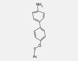 CC(=O)SOc1ccc(-c2ccc(N)cc2)cc1